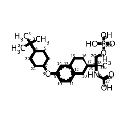 CC(C)(C)C1CCC(Oc2ccc3c(c2)CC[C@@H]([C@](C)(COP(=O)(O)O)NC(=O)O)C3)CC1